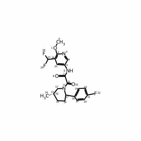 COc1ncc(NC(=O)C(=O)N2C[C@@H](C)CCC2c2ccc(F)cc2)cc1C(F)F